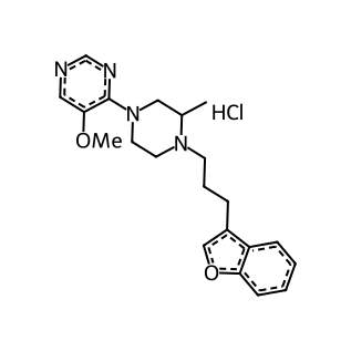 COc1cncnc1N1CCN(CCCc2coc3ccccc23)C(C)C1.Cl